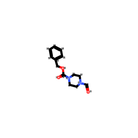 O=[C]N1CCN(C(=O)OCc2ccccc2)CC1